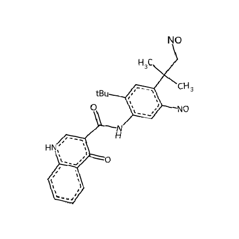 CC(C)(C)c1cc(C(C)(C)CN=O)c(N=O)cc1NC(=O)c1c[nH]c2ccccc2c1=O